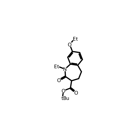 CCOc1ccc2c(c1)N(CC)C(=O)C(C(=O)OC(C)(C)C)CC2